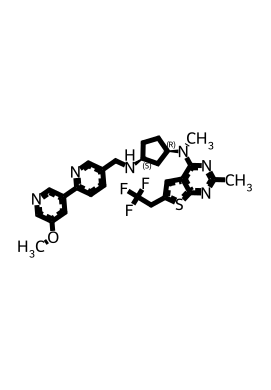 COc1cncc(-c2ccc(CN[C@H]3CC[C@@H](N(C)c4nc(C)nc5sc(CC(F)(F)F)cc45)C3)cn2)c1